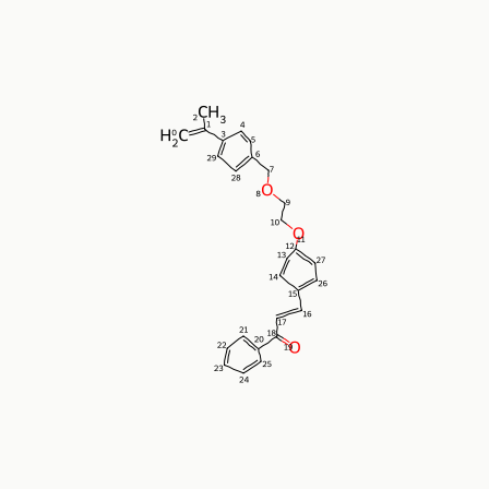 C=C(C)c1ccc(COCCOc2ccc(C=CC(=O)c3ccccc3)cc2)cc1